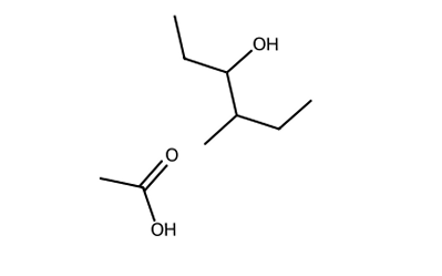 CC(=O)O.CCC(C)C(O)CC